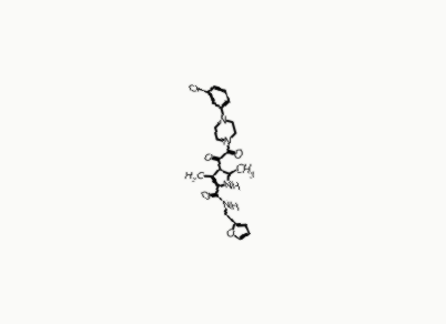 CC1=C(C(=O)NCc2ccco2)NC(C)C1C(=O)C(=O)N1CCN(c2cccc(Cl)c2)CC1